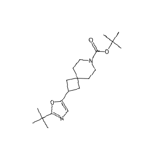 CC(C)(C)OC(=O)N1CCC2(CC1)CC(c1cnc(C(C)(C)C)o1)C2